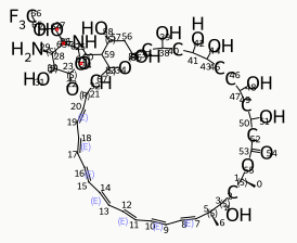 C[C@H]1C[C@H](O)[C@@H](C)/C=C/C=C/C=C/C=C/C=C/C=C/C=C/[C@H](O[C@@H]2OC[C@@H](O)[C@H](N)[C@@H]2O)C[C@@H]2O[C@](O)(CC(O)CC(O)C(O)CCC(O)CC(O)CC(=O)O1)C[C@H](O)C2C(=O)NCCOC(F)(F)F